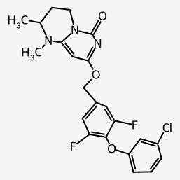 CC1CCn2c(cc(OCc3cc(F)c(Oc4cccc(Cl)c4)c(F)c3)nc2=O)N1C